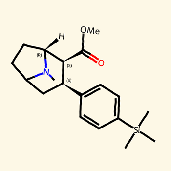 COC(=O)[C@H]1[C@@H](c2ccc([Si](C)(C)C)cc2)CC2CC[C@H]1N2C